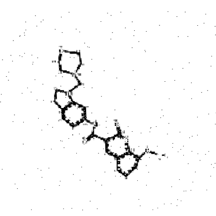 COc1cccc2cc(C(=O)Nc3ccc4c(c3)N(CN3CCOCC3)CC4)c(=O)oc12